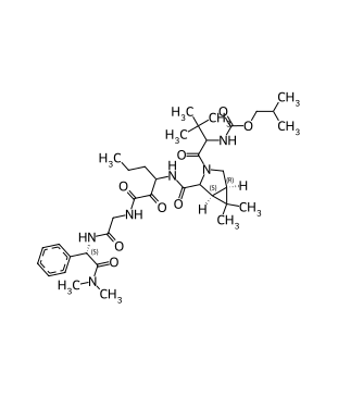 CCCC(NC(=O)C1[C@H]2[C@@H](CN1C(=O)C(NC(=O)OCC(C)C)C(C)(C)C)C2(C)C)C(=O)C(=O)NCC(=O)N[C@H](C(=O)N(C)C)c1ccccc1